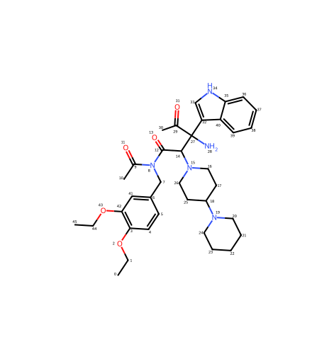 CCOc1ccc(CN(C(C)=O)C(=O)C(N2CCC(N3CCCCC3)CC2)C(N)(C(C)=O)c2c[nH]c3ccccc23)cc1OCC